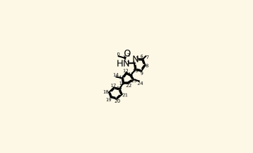 CC(=O)Nc1nc(C)ccc1-c1cc(C)c(-c2ccccc2)cc1C